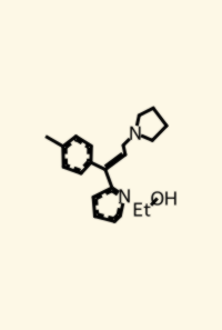 CCO.Cc1ccc(/C(=C\CN2CCCC2)c2ccccn2)cc1